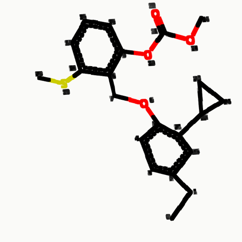 CCc1ccc(OCc2c(OC(=O)OC)cccc2SC)c(C2CC2)c1